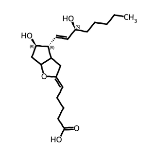 CCCCC[C@H](O)C=C[C@@H]1C2CC(=CCCCC(=O)O)OC2C[C@H]1O